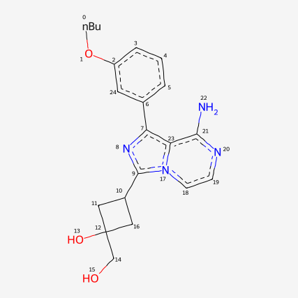 CCCCOc1cccc(-c2nc(C3CC(O)(CO)C3)n3ccnc(N)c23)c1